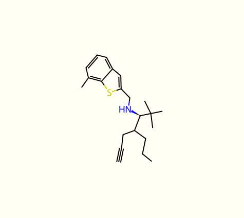 C#CCC(CCC)[C@@H](NCc1cc2cccc(C)c2s1)C(C)(C)C